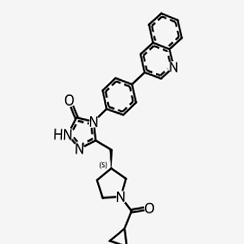 O=C(C1CC1)N1CC[C@@H](Cc2n[nH]c(=O)n2-c2ccc(-c3cnc4ccccc4c3)cc2)C1